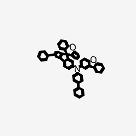 c1ccc(-c2ccc(N(c3ccc4c(c3)C3(c5ccccc5Oc5ccccc53)c3ccc(-c5ccccc5)cc3-4)c3ccc4oc5ccccc5c4c3)cc2)cc1